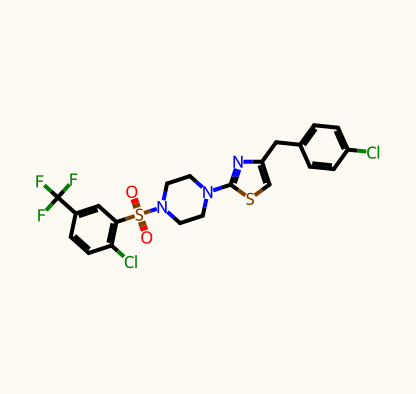 O=S(=O)(c1cc(C(F)(F)F)ccc1Cl)N1CCN(c2nc(Cc3ccc(Cl)cc3)cs2)CC1